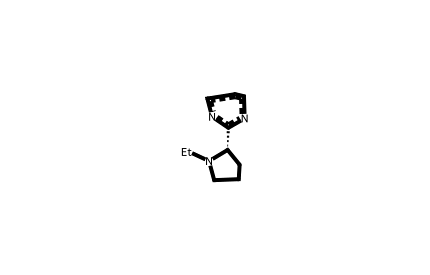 CCN1CCC[C@H]1c1ncccn1